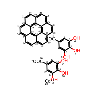 O=C([O-])c1cc(O)c(O)c(O)c1.O=C([O-])c1cc(O)c(O)c(O)c1.[Cd+2].c1cc2ccc3ccc4ccc5ccc6ccc1c1c2c3c4c5c61